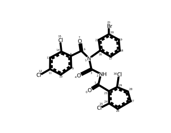 O=C(NC(=O)N(C(=O)c1ccc(Cl)cc1Cl)c1cccc(Br)c1)c1c(Cl)cccc1Cl